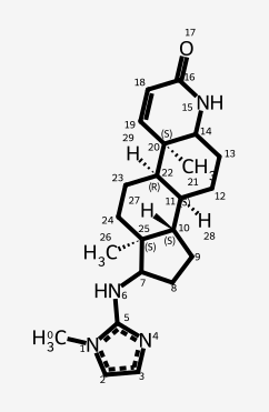 Cn1ccnc1NC1CC[C@H]2[C@@H]3CCC4NC(=O)C=C[C@]4(C)[C@@H]3CC[C@]12C